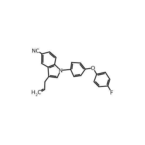 C=CCc1cn(-c2ccc(Oc3ccc(F)cc3)cc2)c2ccc(C#N)cc12